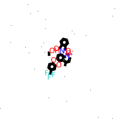 CCO.COc1cc(N2C(=O)c3ccccc3C2=O)c2c(c(C)cc[n+]2[O-])c1Oc1cccc(C(F)(F)F)c1